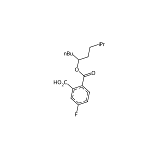 CCCCC(CCC(C)C)OC(=O)c1ccc(F)cc1C(=O)O